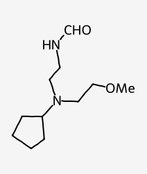 COCCN(CCNC=O)C1CCCC1